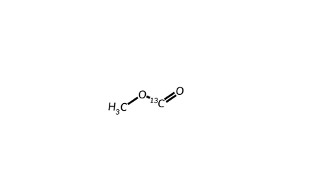 CO[13CH]=O